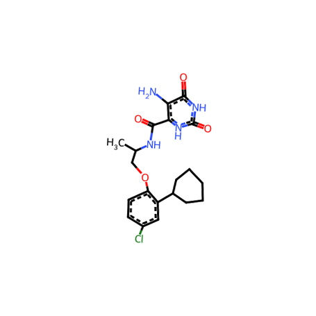 CC(COc1ccc(Cl)cc1C1CCCCC1)NC(=O)c1[nH]c(=O)[nH]c(=O)c1N